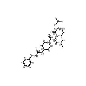 CC(C)C[C@@H]1NCCN([C@@H](CC(C)C)C(=O)N2CCC(CC(=O)NCc3ccccc3)CC2)C1=O